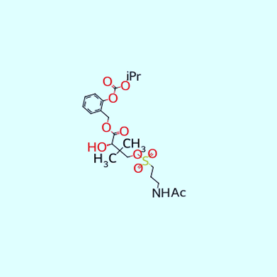 CC(=O)NCCCS(=O)(=O)OCC(C)(C)[C@@H](O)C(=O)OCc1ccccc1OC(=O)OC(C)C